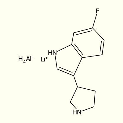 Fc1ccc2c(C3CCNC3)c[nH]c2c1.[AlH4-].[Li+]